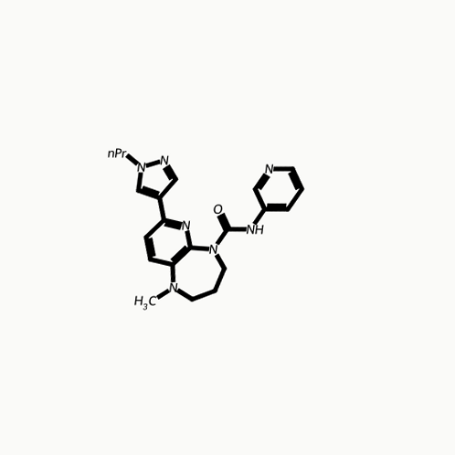 CCCn1cc(-c2ccc3c(n2)N(C(=O)Nc2cccnc2)CCCN3C)cn1